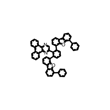 c1ccc(-c2cccc3c2oc2c(-c4cccc(-c5cccc6c5oc5c(-c7ccccc7)cccc56)c4-c4cnc5c6ccccc6c6ccccc6c5n4)cccc23)cc1